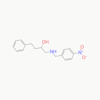 O=[N+]([O-])c1ccc(CNCC(O)[CH]Cc2ccccc2)cc1